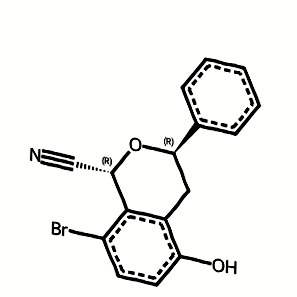 N#C[C@@H]1O[C@@H](c2ccccc2)Cc2c(O)ccc(Br)c21